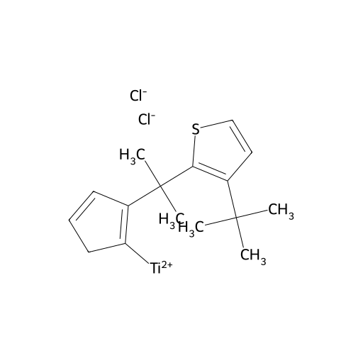 CC(C)(C)c1ccsc1C(C)(C)C1=[C]([Ti+2])CC=C1.[Cl-].[Cl-]